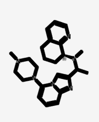 CC(c1cn2c(N3CCN(C)CC3)cccc2n1)N(C)[C@H]1CCCc2cccnc21